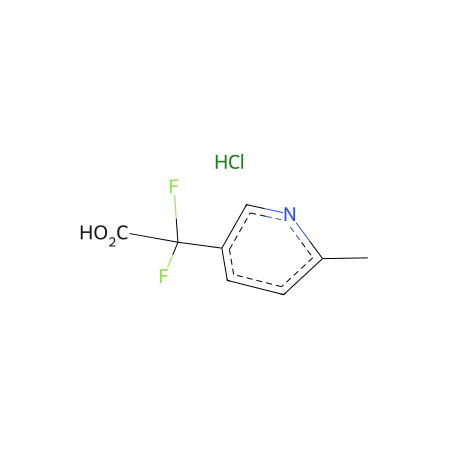 Cc1ccc(C(F)(F)C(=O)O)cn1.Cl